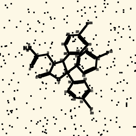 NC(=O)CN1C(=O)OC(c2ccc(F)cc2)(c2ccc(F)cc2)C1c1ccc(F)cc1